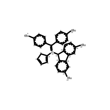 CC(C)(C)c1ccc([C](c2ccc(C(C)(C)C)cc2)=[Zr]([C]2=CC=CC2)[CH]2c3ccc(C(C)(C)C)cc3-c3cc(C(C)(C)C)ccc32)cc1